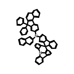 c1ccc(C2(c3ccccc3)c3cc(N(c4ccc5c(c4)C4(c6ccccc6-5)c5ccccc5-n5c6ccccc6c6cccc4c65)c4ccc5ccccc5c4)ccc3-c3c2ccc2ccccc32)cc1